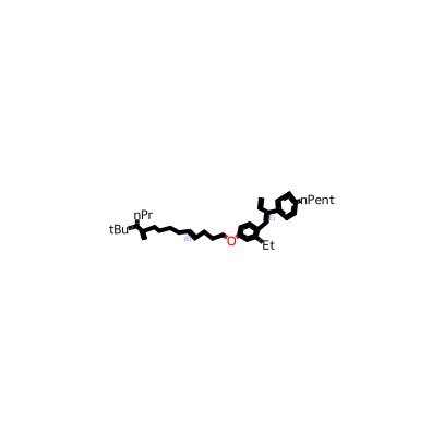 C=C/C(=C\c1ccc(OCCC/C=C/CCCCC(=C)C(CCC)C(C)(C)C)cc1CC)c1ccc(CCCCC)cc1